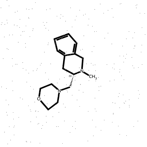 CN1Cc2ccccc2C[C@H]1CN1CCOCC1